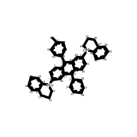 Cc1ccc(-c2c3ccc(N4CCCc5ccccc54)cc3c(-c3ccccc3)c3ccc(N4CCCc5ccccc54)cc23)cc1